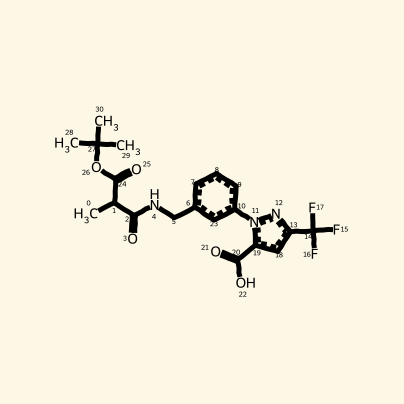 CC(C(=O)NCc1cccc(-n2nc(C(F)(F)F)cc2C(=O)O)c1)C(=O)OC(C)(C)C